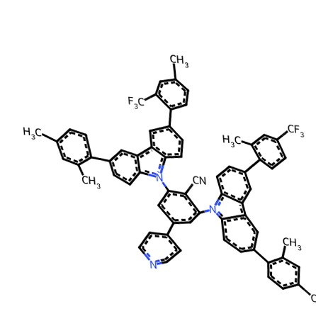 Cc1ccc(-c2ccc3c(c2)c2cc(-c4ccc(C)cc4C(F)(F)F)ccc2n3-c2cc(-c3ccncc3)cc(-n3c4ccc(-c5ccc(C(F)(F)F)cc5C)cc4c4cc(-c5ccc(C(F)(F)F)cc5C)ccc43)c2C#N)c(C)c1